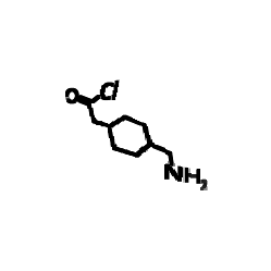 NCC1CCC(CC(=O)Cl)CC1